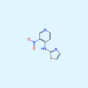 O=[N+]([O-])c1cnccc1Nc1nccs1